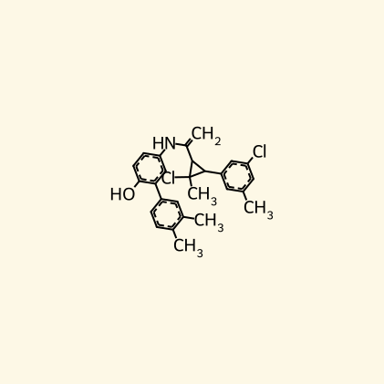 C=C(Nc1ccc(O)c(-c2ccc(C)c(C)c2)c1)C1C(c2cc(C)cc(Cl)c2)C1(C)Cl